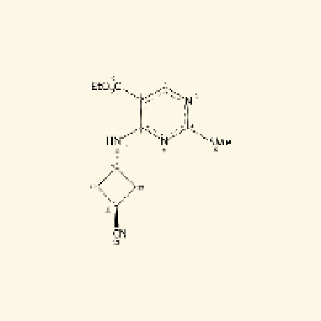 CCOC(=O)c1cnc(SC)nc1N[C@H]1C[C@H](C#N)C1